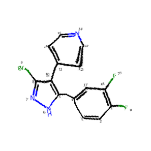 Fc1ccc(-c2[nH]nc(Br)c2-c2ccncc2)cc1F